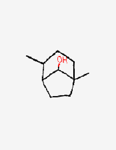 CC1CCC2(C)CCC1C2O